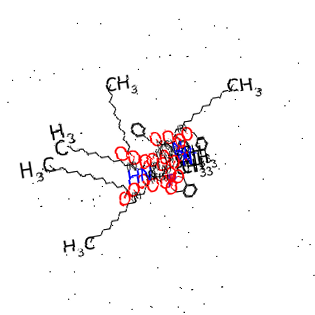 CCCCCCCCCCCCCC(=O)O[C@H](CCCCCCCCCCC)CC(=O)O[C@@H]1[C@@H](NC(=O)C[C@@H](CCCCCCCCCCC)OC(=O)CCCCCCCCCCC)[C@H](OC[C@H]2O[C@@H](O[Si](C)(C)C(C)(C)C)[C@H](N=[N+]=[N-])[C@@H](OC(=O)C[C@@H](CCCCCCCCCCC)OCc3ccccc3)[C@@H]2OCc2ccccc2)O[C@H](COCc2ccccc2)[C@H]1OP1(=O)OCc2ccccc2CO1